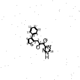 O=C(Cc1sccc1-c1ccccc1)C(=O)c1nc[nH]n1